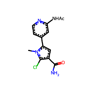 CC(=O)Nc1cc(-c2cc(C(N)=O)c(Cl)n2C)ccn1